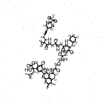 Cc1c(F)cc2nc3c(c4c2c1CC[C@@H]4NC(=O)COCNC(=O)CNC(=O)[C@H](Cc1ccccc1)NC(=O)CNC(=O)CNC(=O)C1(CCC#Cc2cnc(S(C)(=O)=O)nc2)CC1)Cn1c-3cc2c(c1=O)COC(=O)[C@]2(O)CC1CC1